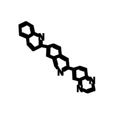 c1ccc2nc(-c3ccc4cc(-c5ccc6nccnc6c5)ncc4c3)ccc2c1